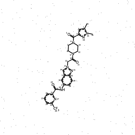 Cc1cc(C(=O)N2CCN(C(=O)Cn3cc4cc(NC(=O)c5cccc(C(F)(F)F)n5)ccc4n3)CC2)nn1C